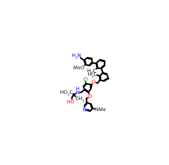 CNc1cncc(COc2cc(OCc3cccc(-c4cccc(-c5ccc(CN)c(OC)c5)c4C)c3C)c(Cl)cc2CNC(C)(CO)C(=O)O)c1